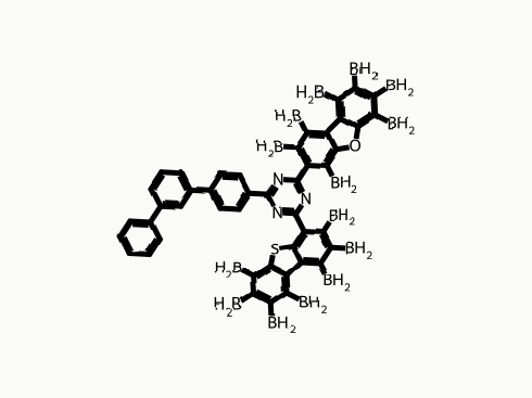 Bc1c(B)c(B)c2c(oc3c(B)c(-c4nc(-c5ccc(-c6cccc(-c7ccccc7)c6)cc5)nc(-c5c(B)c(B)c(B)c6c5sc5c(B)c(B)c(B)c(B)c56)n4)c(B)c(B)c32)c1B